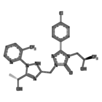 C[C@@H](O)C1=NC(Cn2nc(-c3ccc(Cl)cc3)n(C[C@H](O)C(F)(F)F)c2=O)NN1c1ncccc1C(F)(F)F